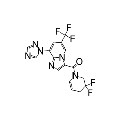 O=C(c1cnc2c(-n3cncn3)cc(C(F)(F)F)cn12)N1C=CCC(F)(F)C1